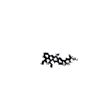 C=CC1=NC(C=C)C(CCc2cc3oc4ncc([C@@H](C)C(C)CC)cc4c3cc2/C(C=C)=N\C)c2ccccc21